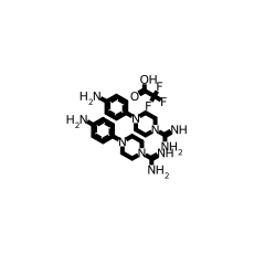 N=C(N)N1CCN(c2ccc(N)cc2)CC1.N=C(N)N1CCN(c2ccc(N)cc2)CC1.O=C(O)C(F)(F)F